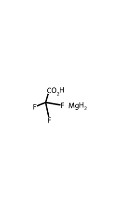 O=C(O)C(F)(F)F.[MgH2]